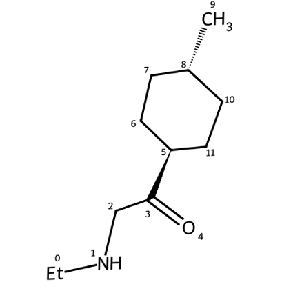 CCNCC(=O)[C@H]1CC[C@H](C)CC1